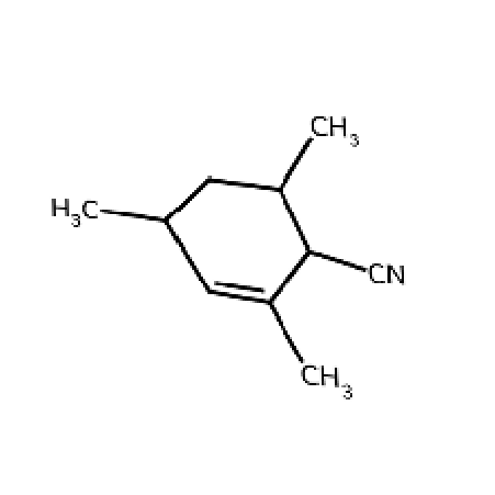 CC1=CC(C)CC(C)C1C#N